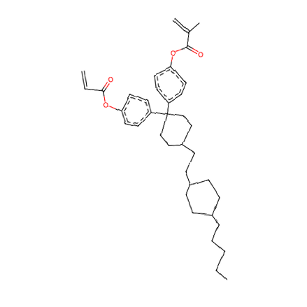 C=CC(=O)Oc1ccc(C2(c3ccc(OC(=O)C(=C)C)cc3)CCC(CCC3CCC(CCCCC)CC3)CC2)cc1